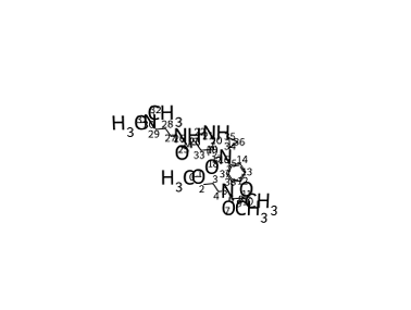 COCCCN1C(=O)C(C)(C)Oc2ccc(N(C(=O)[C@H]3CNC[C@@H](C(=O)NCCCN(C)C)C3)C3CC3)cc21